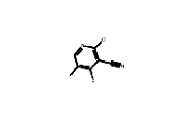 Cc1cnc(Cl)c(C#N)c1F